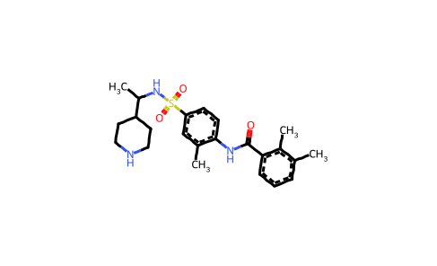 Cc1cc(S(=O)(=O)NC(C)C2CCNCC2)ccc1NC(=O)c1cccc(C)c1C